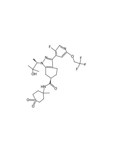 C[C@@H](n1nc(-c2cc(OCC(F)(F)F)ncc2F)c2c1C[C@H](C(=O)NC1(C)CCS(=O)(=O)CC1)CC2)C(C)(C)O